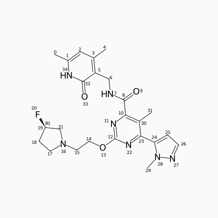 Cc1cc(C)c(CNC(=O)c2nc(OCCN3CC[C@@H](F)C3)nc(-c3ccnn3C)c2C)c(=O)[nH]1